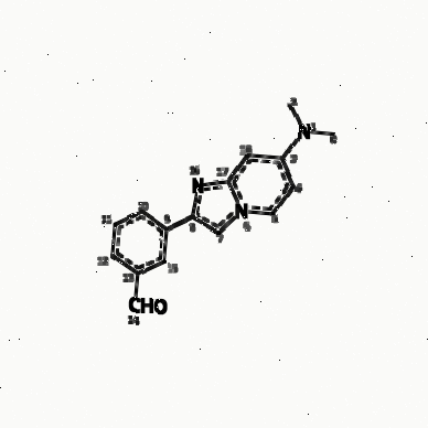 CN(C)c1ccn2cc(-c3cccc(C=O)c3)nc2c1